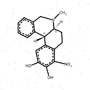 CN1Cc2ccccc2[C@H]2c3cc(O)c(O)c([N+](=O)[O-])c3CC[C@@H]21